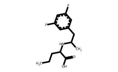 CCCC(NC(C)Cc1cc(F)cc(F)c1)C(=O)O